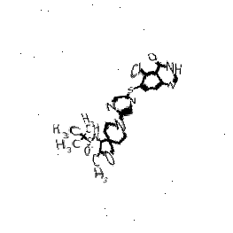 C[C@@H]1OCC2(CCN(c3cnc(Sc4ccc5nc[nH]c(=O)c5c4Cl)cn3)CC2)[C@@H]1N[S+]([O-])C(C)(C)C